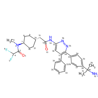 CN(C(=O)C(F)F)[C@H]1CC[C@H](CC(=O)Nc2cc(-c3ccccc3)c(-c3ccc(C(C)(C)N)cc3)nn2)CC1